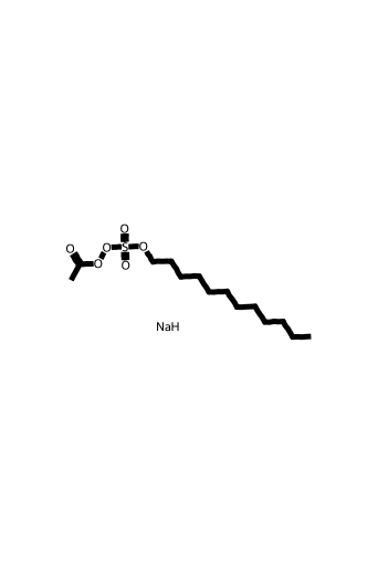 CCCCCCCCCCCCOS(=O)(=O)OOC(C)=O.[NaH]